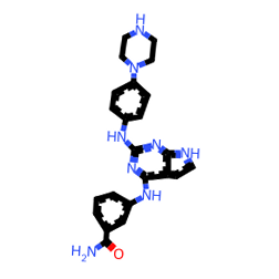 NC(=O)c1cccc(Nc2nc(Nc3ccc(N4CCNCC4)cc3)nc3[nH]ccc23)c1